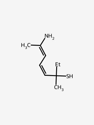 CCC(C)(S)/C=C\C=C(/C)N